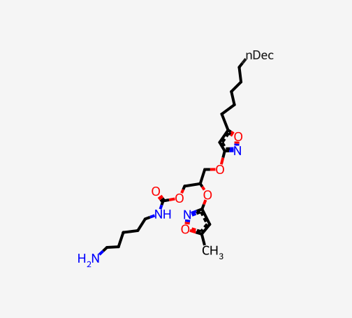 CCCCCCCCCCCCCCCc1cc(OCC(COC(=O)NCCCCCN)Oc2cc(C)on2)no1